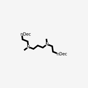 CCCCCCCCCCCCN(C)CCCN(C)CCCCCCCCCCCC